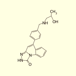 CC(O)CNCc1ccc(-c2cc3n[nH]c(=O)n3c3ccccc23)cc1